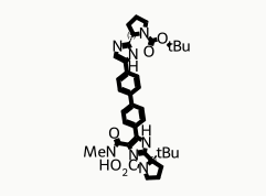 CNC(=O)c1nc([C@@]2(C(C)(C)C)CCCN2C(=O)O)[nH]c1-c1ccc(-c2ccc(-c3cnc([C@@H]4CCCN4C(=O)OC(C)(C)C)[nH]3)cc2)cc1